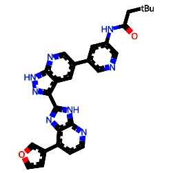 CC(C)(C)CC(=O)Nc1cncc(-c2cnc3[nH]nc(-c4nc5c(-c6ccoc6)ccnc5[nH]4)c3c2)c1